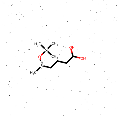 C[SiH](CCCC(O)O)O[Si](C)(C)C